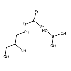 CCN(CC)CC.OB(O)O.OCC(O)CO